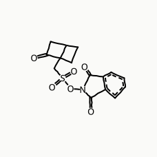 O=C1c2ccccc2C(=O)N1OS(=O)(=O)CC12CCC1CC2=O